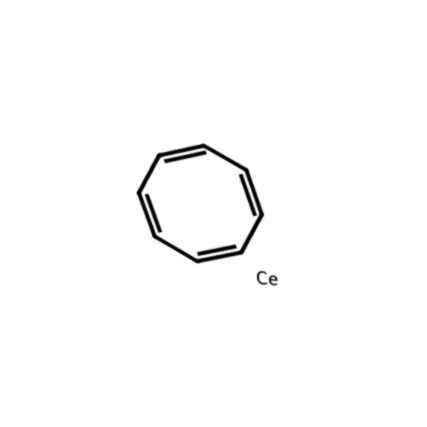 C1=CC=CC=CC=C1.[Ce]